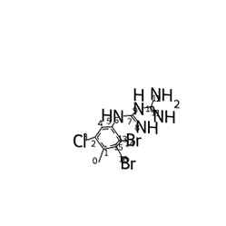 Cc1c(Cl)cc(NC(=N)NC(=N)N)c(Br)c1Br